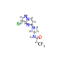 CN(C(=O)CC(F)(F)F)C1CCN(c2ccn3ncc(Br)c3n2)C1